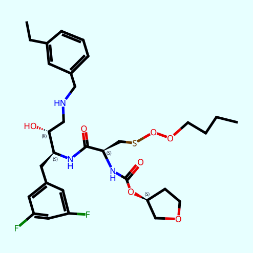 CCCCOOSC[C@@H](NC(=O)O[C@H]1CCOC1)C(=O)N[C@@H](Cc1cc(F)cc(F)c1)[C@H](O)CNCc1cccc(CC)c1